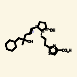 CC(O)(C/C=C/[C@H]1CC[C@H](O)[C@@H]1CCSc1nc(C(=O)O)cs1)CC1CCCCC1